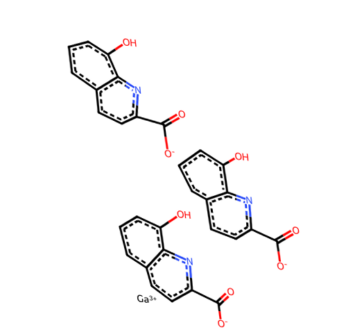 O=C([O-])c1ccc2cccc(O)c2n1.O=C([O-])c1ccc2cccc(O)c2n1.O=C([O-])c1ccc2cccc(O)c2n1.[Ga+3]